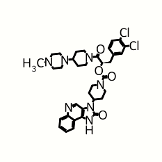 CN1CCN(C2CCN(C(=O)[C@@H](Cc3ccc(Cl)c(Cl)c3)OC(=O)N3CCC(n4c(=O)[nH]c5c6ccccc6ncc54)CC3)CC2)CC1